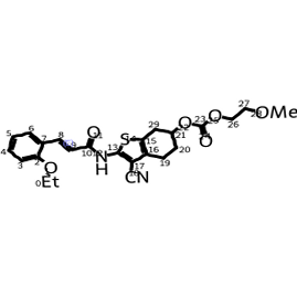 CCOc1ccccc1/C=C/C(=O)Nc1sc2c(c1C#N)CCC(OC(=O)OCCOC)C2